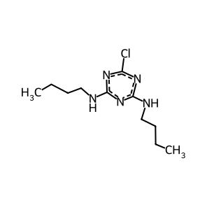 CCCCNc1nc(Cl)nc(NCCCC)n1